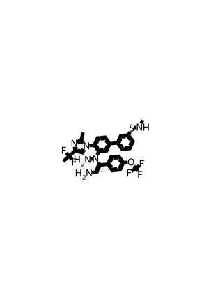 CNSc1cccc(-c2ccc(-n3cc(C(C)(F)F)nc3C)c(N(N)/C(=C\N)c3ccc(OC(F)(F)F)cc3)c2)c1